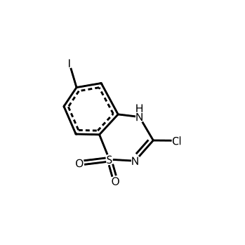 O=S1(=O)N=C(Cl)Nc2cc(I)ccc21